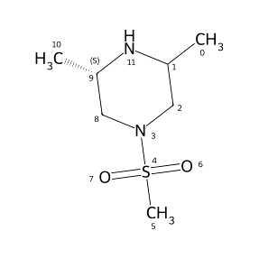 CC1CN(S(C)(=O)=O)C[C@H](C)N1